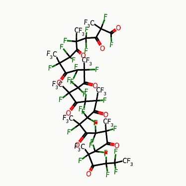 O=C(F)C(F)(C(=O)C(F)(F)C(F)(C(=O)C(F)(F)C(F)(C(=O)C(F)(F)C(F)(C(=O)C(F)(F)C(F)(C(=O)C(F)(F)C(F)(C(=O)C(F)(F)C(F)(C(=O)C(F)(F)C(F)(C(=O)C(F)(F)C(F)(C(=O)C(F)(F)C(F)(F)C(F)(F)F)C(F)(F)F)C(F)(F)F)C(F)(F)F)C(F)(F)F)C(F)(F)F)C(F)(F)F)C(F)(F)F)C(F)(F)F)C(F)(F)F